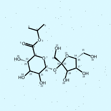 CC(C)OC(=O)C1O[C@H](O[C@]2(CO)O[C@H](CO)C(O)C2O)C(O)C(O)[C@@H]1O